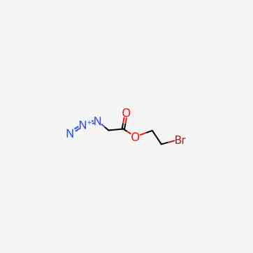 [N-]=[N+]=NCC(=O)OCCBr